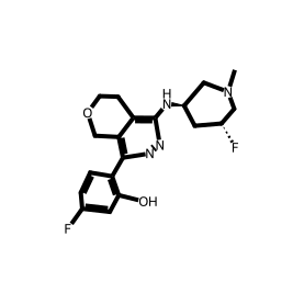 CN1C[C@H](F)C[C@@H](Nc2nnc(-c3ccc(F)cc3O)c3c2CCOC3)C1